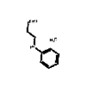 CCCCCCCPc1ccccc1.O